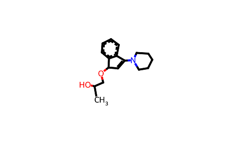 CC(O)COC1C=C(N2CCCCC2)c2ccccc21